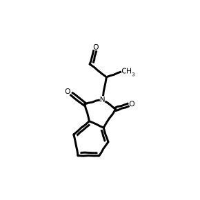 CC(C=O)N1C(=O)c2ccccc2C1=O